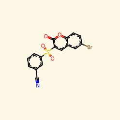 N#Cc1cccc(S(=O)(=O)c2cc3cc(Br)ccc3oc2=O)c1